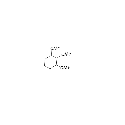 COC1C[CH]CC(OC)C1OC